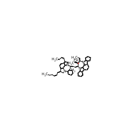 C=C/C=C\c1cn(/C(C)=C/C=C(\C=C/C)n2c3ccccc3c3ccc4c5ccccc5n(C(/C=C\C)=C/C)c4c32)c2c3c(ccc12)/C(=C/C=C\CCC)CN3c1ccccc1